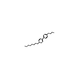 CCCCCCCCC1C=CC(c2ccc(CCCC)cc2)=CC1